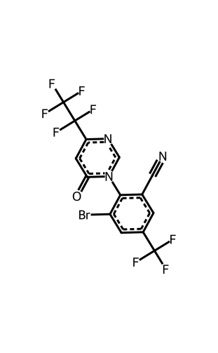 N#Cc1cc(C(F)(F)F)cc(Br)c1-n1cnc(C(F)(F)C(F)(F)F)cc1=O